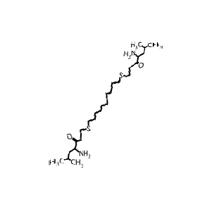 CC(C)CC(N)C(=O)CCSCCCCCCCCCCSCCC(=O)C(N)CC(C)C